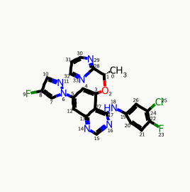 C[C@H](Oc1cc(-n2cc(F)cn2)cc2ncnc(Nc3ccc(F)c(Cl)c3)c12)c1ncccn1